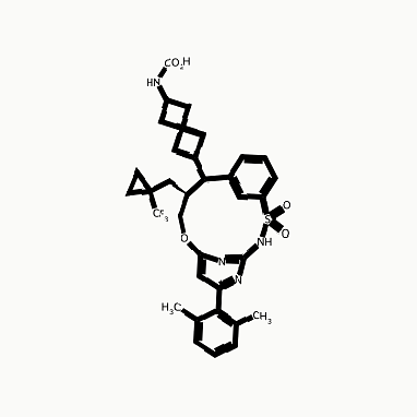 Cc1cccc(C)c1-c1cc2nc(n1)NS(=O)(=O)c1cccc(c1)C(C1CC3(CC(NC(=O)O)C3)C1)[C@H](CC1(C(F)(F)F)CC1)CO2